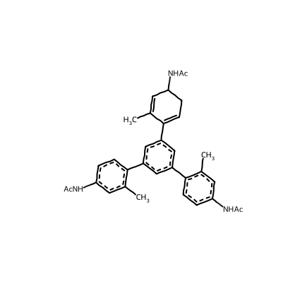 CC(=O)Nc1ccc(-c2cc(C3=CCC(NC(C)=O)C=C3C)cc(-c3ccc(NC(C)=O)cc3C)c2)c(C)c1